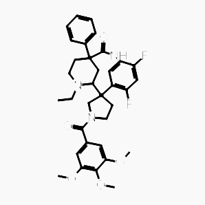 CCN1CCC(C(N)=O)(c2ccccc2)CC1C1(c2ccc(F)cc2F)CCN(C(=O)c2cc(OC)c(OC)c(OC)c2)C1